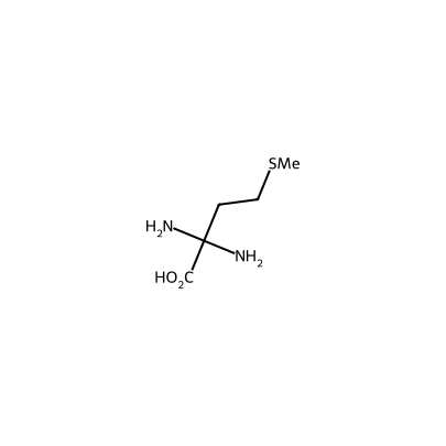 CSCCC(N)(N)C(=O)O